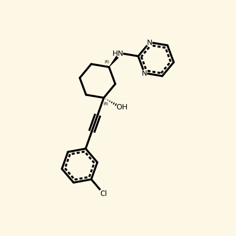 O[C@]1(C#Cc2cccc(Cl)c2)CCC[C@@H](Nc2ncccn2)C1